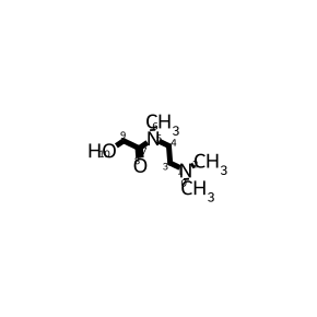 CN(C)CCN(C)C(=O)CO